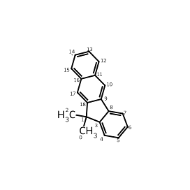 CC1(C)c2ccccc2-c2cc3cc[c]cc3cc21